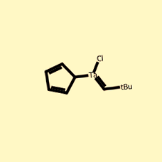 CC(C)(C)[CH]=[Ta]([Cl])[CH]1C=CC=C1